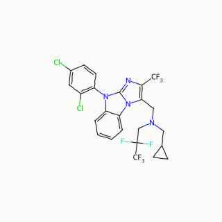 FC(F)(F)c1nc2n(-c3ccc(Cl)cc3Cl)c3ccccc3n2c1CN(CC1CC1)CC(F)(F)C(F)(F)F